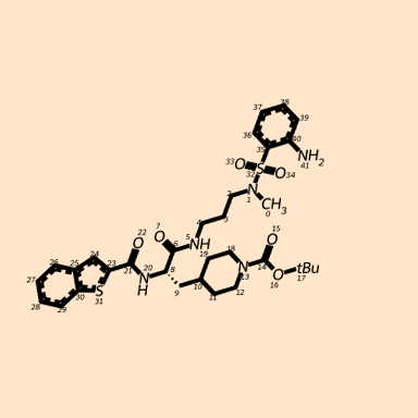 CN(CCCNC(=O)[C@H](CC1CCN(C(=O)OC(C)(C)C)CC1)NC(=O)c1cc2ccccc2s1)S(=O)(=O)c1ccccc1N